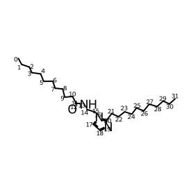 CCCCCCCCCCCC(=O)NCCn1ccnc1CCCCCCCCCCC